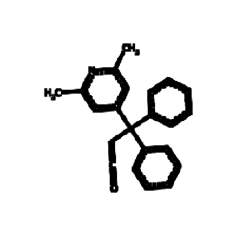 Cc1cc(C(C=C=O)(c2ccccc2)c2ccccc2)cc(C)n1